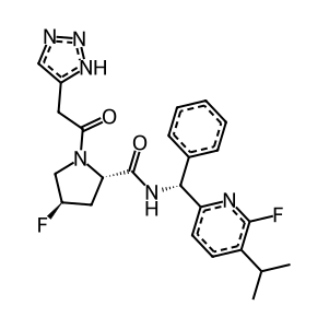 CC(C)c1ccc([C@H](NC(=O)[C@@H]2C[C@@H](F)CN2C(=O)Cc2cnn[nH]2)c2ccccc2)nc1F